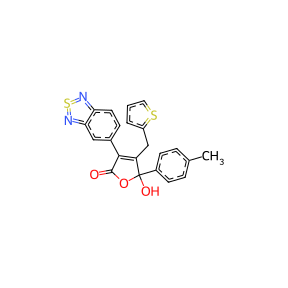 Cc1ccc(C2(O)OC(=O)C(c3ccc4nsnc4c3)=C2Cc2cccs2)cc1